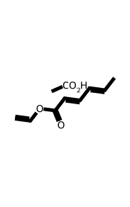 C=COC(=O)/C=C/C=C/C.CC(=O)O